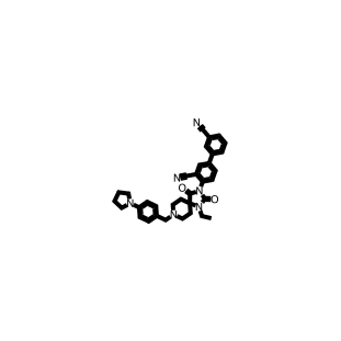 CCN1C(=O)N(c2ccc(-c3cccc(C#N)c3)cc2C#N)C(=O)C12CCN(Cc1ccc(N3CCCC3)cc1)CC2